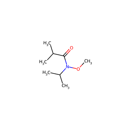 CON(C(=O)C(C)C)C(C)C